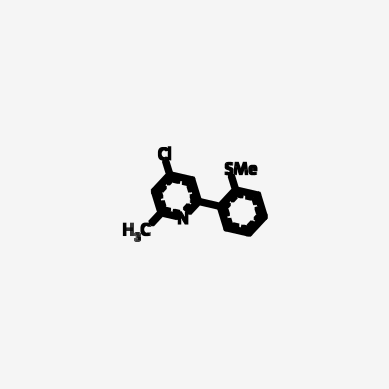 CSc1ccccc1-c1cc(Cl)cc(C)n1